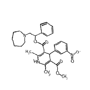 COC(=O)C1=C(C)NC(C)=C(C(=O)OC(CN2CCCCCC2)c2ccccc2)C1c1cccc([N+](=O)[O-])c1